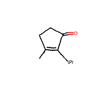 CC1=C(C(C)C)C(=O)CC1